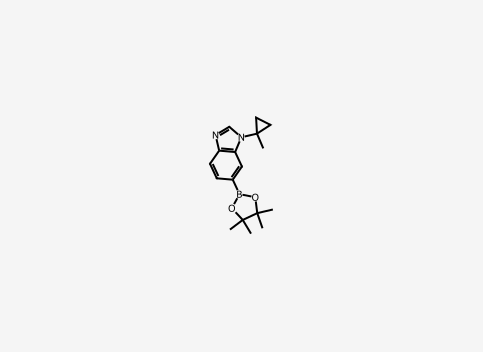 CC1(n2cnc3ccc(B4OC(C)(C)C(C)(C)O4)cc32)CC1